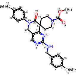 COc1ccc(CNc2ncc3c(n2)C2(CCN(C(=O)OC(C)(C)C)CC2)C(=O)N(c2ccc(OC)cc2)C3)cc1